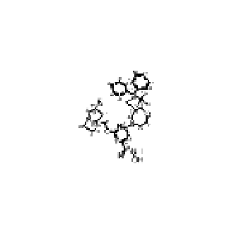 CC(C)(C)[Si](O[C@H]1COCCN(c2nc(OC[C@@]34CCCN3C[C@H](F)C4)nc(C(=N)NO)n2)C1)(c1ccccc1)c1ccccc1